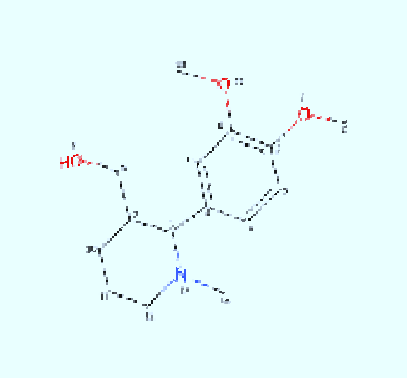 COc1ccc(C2C(CO)CCCN2C)cc1OC